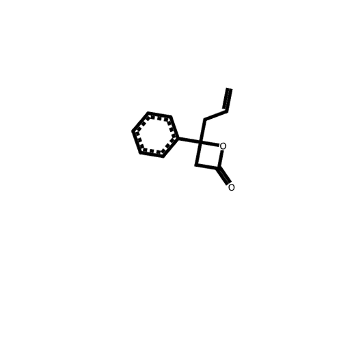 C=CCC1(c2ccccc2)CC(=O)O1